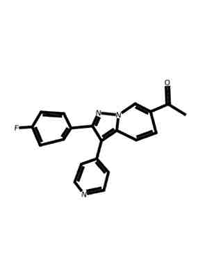 CC(=O)c1ccc2c(-c3ccncc3)c(-c3ccc(F)cc3)nn2c1